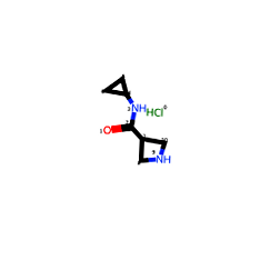 Cl.O=C(NC1CC1)C1CNC1